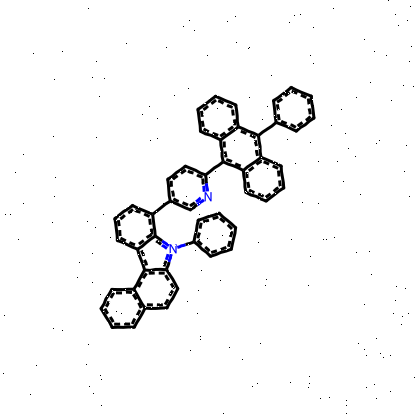 c1ccc(-c2c3ccccc3c(-c3ccc(-c4cccc5c6c7ccccc7ccc6n(-c6ccccc6)c45)cn3)c3ccccc23)cc1